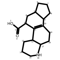 O=C(O)C1CC2CCCC2C2=C1C1CCCNC1CC2